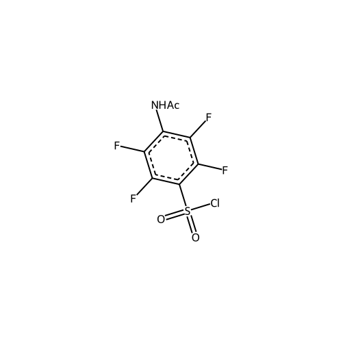 CC(=O)Nc1c(F)c(F)c(S(=O)(=O)Cl)c(F)c1F